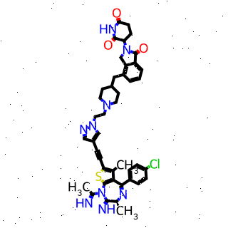 CC(=N)N1C(=N)[C@H](C)N=C(c2ccc(Cl)cc2)c2c1sc(C#Cc1cnn(CCN3CCC(Cc4cccc5c4CN(C4CCC(=O)NC4=O)C5=O)CC3)c1)c2C